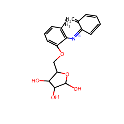 C=C1C=CC=C/C1=N/c1c(C)cccc1OCC1OC(O)C(O)C1O